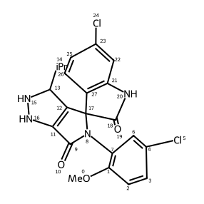 COc1ccc(Cl)cc1N1C(=O)C2=C(C(C(C)C)NN2)C12C(=O)Nc1cc(Cl)ccc12